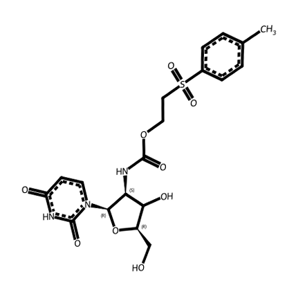 Cc1ccc(S(=O)(=O)CCOC(=O)N[C@H]2C(O)[C@@H](CO)O[C@H]2n2ccc(=O)[nH]c2=O)cc1